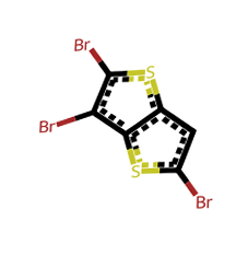 Brc1cc2sc(Br)c(Br)c2s1